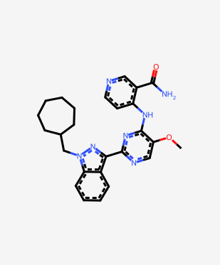 COc1cnc(-c2nn(CC3CCCCCC3)c3ccccc23)nc1Nc1ccncc1C(N)=O